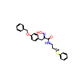 O=C(NCC[Se]Sc1ccccc1)/C(Cc1ccc(OCc2ccccc2)cc1)=N/O